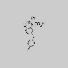 CC(C)[C@H]1COc2ncc(Cc3ccc(F)cc3)cc2N1C(=O)O